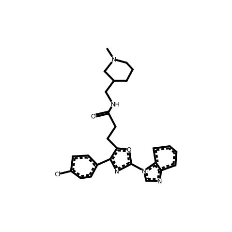 CN1CCCC(CNC(=O)CCc2oc(-n3cnc4ccccc43)nc2-c2ccc(Cl)cc2)C1